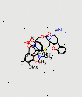 COc1c(C)cc2c(c1O)[C@H](N(C)C)[C@@H]1[C@@H]3SC[C@]4(N[C@H](CN)Cc5c4oc4ccccc54)C(=O)OC[C@@H](c4c5c(c(C)c(OC(C)=O)c43)OCO5)N1[C@@H](O)C2